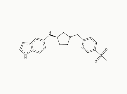 CS(=O)(=O)c1ccc(CN2CC[C@@H](Nc3ccc4[nH]ccc4c3)C2)cc1